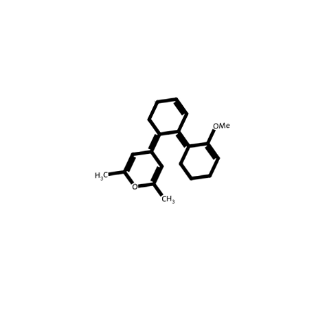 COC1=CCCCC1=C1C=C[C]CC1=C1C=C(C)OC(C)=C1